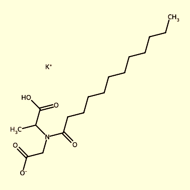 CCCCCCCCCCCC(=O)N(CC(=O)[O-])C(C)C(=O)O.[K+]